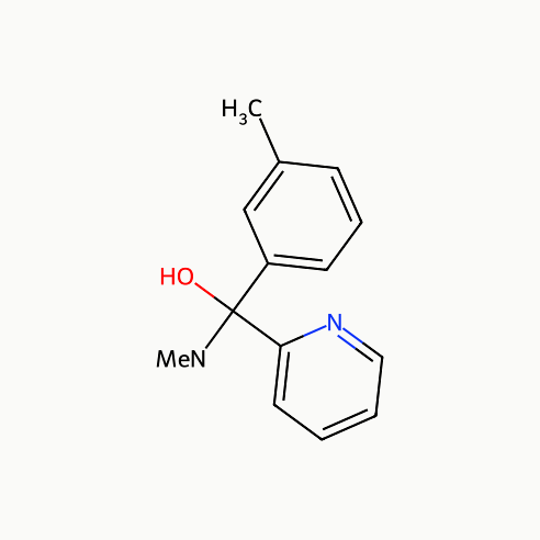 CNC(O)(c1cccc(C)c1)c1ccccn1